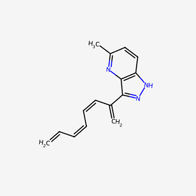 C=C/C=C\C=C/C(=C)c1n[nH]c2ccc(C)nc12